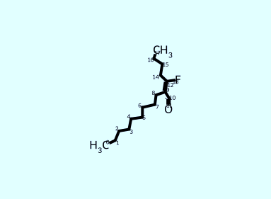 CCCCCCCCC/C([C]=O)=C(/F)CCCC